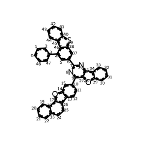 c1ccc(-c2cc(-c3nc(-c4ccc5c(c4)oc4c6ccccc6ccc54)c4oc5ccccc5c4n3)cc3sc4ccccc4c23)cc1